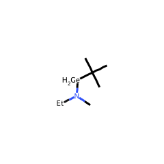 CC[N](C)[GeH2][C](C)(C)C